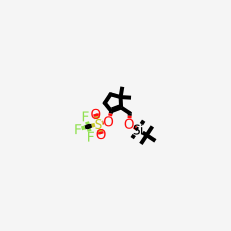 CC1(C)CCC(OS(=O)(=O)C(F)(F)F)=C1CO[Si](C)(C)C(C)(C)C